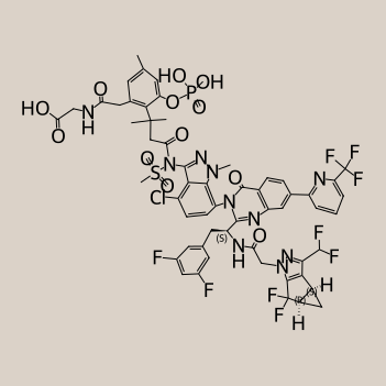 Cc1cc(CC(=O)NCC(=O)O)c(C(C)(C)CC(=O)N(c2nn(C)c3c(-n4c([C@H](Cc5cc(F)cc(F)c5)NC(=O)Cn5nc(C(F)F)c6c5C(F)(F)[C@@H]5C[C@H]65)nc5cc(-c6cccc(C(F)(F)F)n6)ccc5c4=O)ccc(Cl)c23)S(C)(=O)=O)c(OP(=O)(O)O)c1